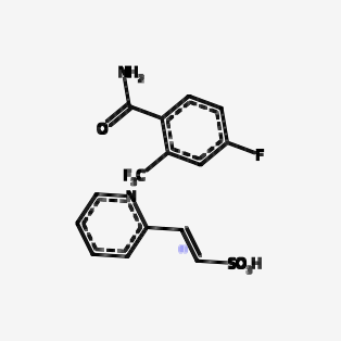 NC(=O)c1ccc(F)cc1C(F)(F)F.O=S(=O)(O)/C=C/c1ccccn1